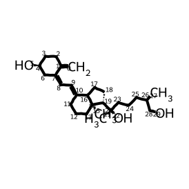 C=C1CC[C@H](O)C/C1=C/C=C1CCC[C@@]2(C)C1CC[C@@H]2[C@@](C)(O)CCCC(C)CO